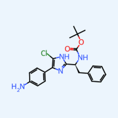 CC(C)(C)OC(=O)N[C@@H](Cc1ccccc1)c1nc(-c2ccc(N)cc2)c(Cl)[nH]1